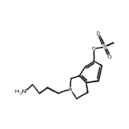 CS(=O)(=O)Oc1ccc2c(c1)CN(CCCCN)CC2